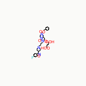 O=C(O)/C=C/C(=O)O.O=C(OCc1ccccc1)N1CCN2C(=O)N(CCCCN3CCC(c4noc5cc(F)ccc45)CC3)C(=O)CC2C1